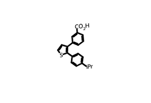 CC(C)c1ccc(-c2sccc2-c2cccc(C(=O)O)c2)cc1